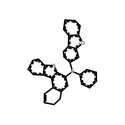 C1=Cc2c(cc(N(c3ccccc3)c3ccc4c(c3)oc3ccccc34)c3sc4ccccc4c23)CC1